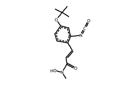 CN(O)C(=O)C=Cc1ccc(OC(C)(C)C)cc1N=C=O